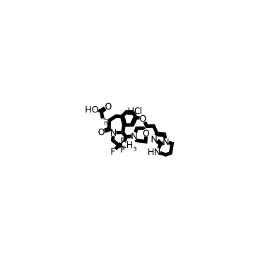 CC(C1c2cc(OCCc3cn4c(n3)NCCC4)ccc2C[C@@H](CC(=O)O)C(=O)N1CC(F)(F)F)N1CCOCC1.Cl